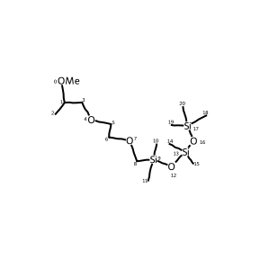 COC(C)COCCOC[Si](C)(C)O[Si](C)(C)O[Si](C)(C)C